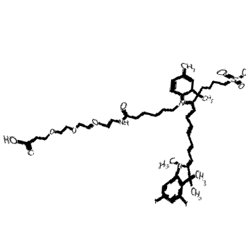 CC1=CC2C(C=C1)[N+](CCCCCC(=O)NCCOCCOCCOCCC(=O)O)=C(/C=C/C=C/C=C/C=C1\N(C)c3cc(I)cc(I)c3C1(C)C)C2(C)CCCCS(=O)(=O)O